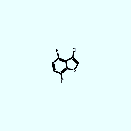 Fc1ccc(F)c2c(Cl)csc12